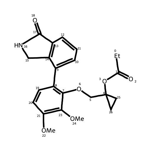 CCC(=O)OC1(COc2c(-c3cccc4c3CNC4=O)ccc(OC)c2OC)CC1